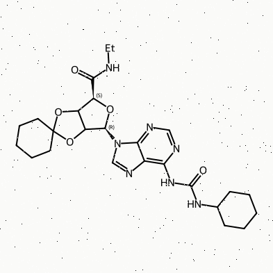 CCNC(=O)[C@H]1O[C@@H](n2cnc3c(NC(=O)NC4CCCCC4)ncnc32)C2OC3(CCCCC3)OC21